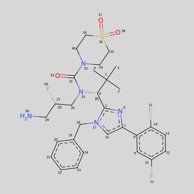 CC(C)(C)[C@H](c1nc(-c2cc(F)ccc2F)cn1Cc1ccccc1)N(C[C@@H](F)CN)C(=O)N1CCS(=O)(=O)CC1